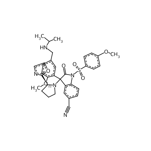 COc1ccc(S(=O)(=O)N2C(=O)C(c3cc(CNC(C)C)ccc3OC)(N3CCC[C@H]3c3ncco3)c3cc(C#N)ccc32)cc1